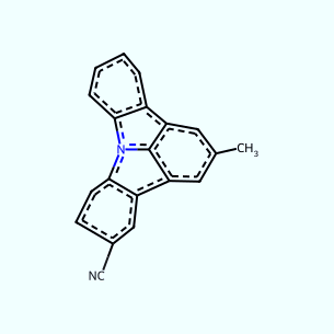 Cc1cc2c3ccccc3n3c4ccc(C#N)cc4c(c1)c23